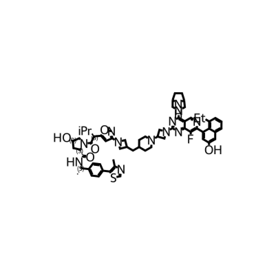 CCc1cccc2cc(O)cc(-c3ncc4c(N5CC6CCC(C5)N6)nc(N5CC(N6CCC(CC7CN(c8cc([C@@H](C(=O)N9C[C@H](O)C[C@H]9C(=O)N[C@@H](C)c9ccc(-c%10scnc%10C)cc9)C(C)C)on8)C7)CC6)C5)nc4c3F)c12